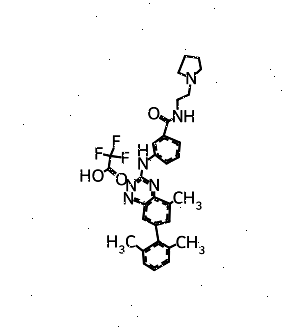 Cc1cccc(C)c1-c1cc(C)c2nc(Nc3cccc(C(=O)NCCN4CCCC4)c3)nnc2c1.O=C(O)C(F)(F)F